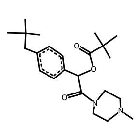 CN1CCN(C(=O)C(OC(=O)C(C)(C)C)c2ccc(CC(C)(C)C)cc2)CC1